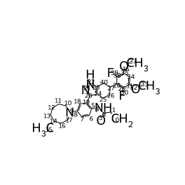 C=CC(=O)Nc1ccc(N2CCCC[C@@H](C)CC2)cc1-c1n[nH]c2c1CCC(c1c(F)c(OC)cc(OC)c1F)C2